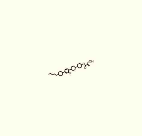 C=C(CO)C(=O)OC1CCC(C2CCC(c3ccc(C4CCC(CCCCC)CC4)cc3F)CC2)CC1